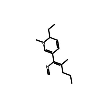 C=N/C(C1=CN(C)C(CC)C=C1)=C(/C)CCC